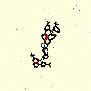 CC(C)c1ccc(-c2ccccc2)c(N(c2cccc(C(C)(C)C)c2)c2ccc3cc4c(cc3c2)oc2cc3cc(N(c5cccc(C(C)(C)C)c5)c5cc(C(C)C)ccc5-c5ccccc5)ccc3cc24)c1